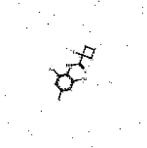 N#Cc1cc(Br)cc(Cl)c1NC(=O)C1(F)CCC1